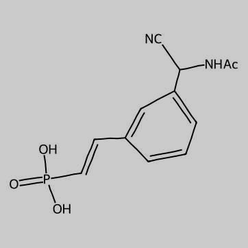 CC(=O)NC(C#N)c1cccc(/C=C/P(=O)(O)O)c1